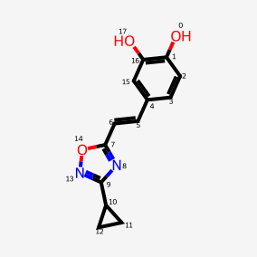 Oc1ccc(/C=C/c2nc(C3CC3)no2)cc1O